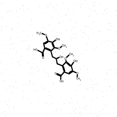 COc1cc(C(=O)O)c(CC(O)Cc2c(C(=O)O)cc(OC)c(O)c2OC)c(OC)c1O